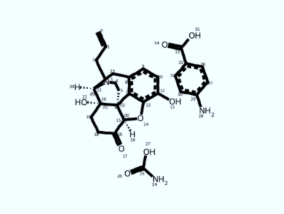 C=CCN1CC[C@]23c4c5ccc(O)c4O[C@H]2C(=O)CC[C@@]3(O)[C@H]1C5.NC(=O)O.Nc1ccc(C(=O)O)cc1